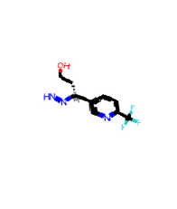 N=N[C@H](CCO)c1ccc(C(F)(F)F)nc1